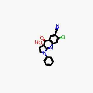 N#Cc1cc2c(cc1Cl)N=C1N(c3ccccc3)CC[C@@]1(O)C2=O